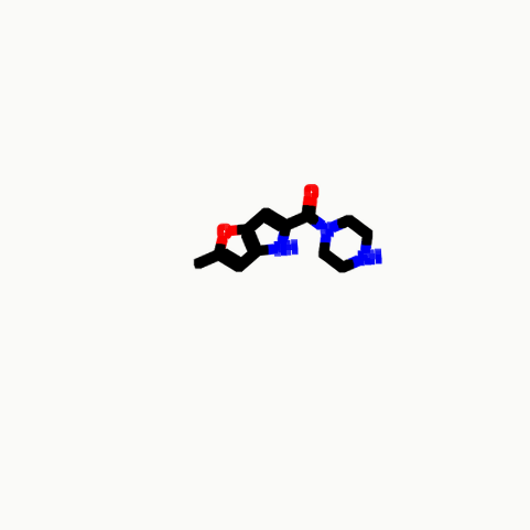 Cc1cc2[nH]c(C(=O)N3CCNCC3)cc2o1